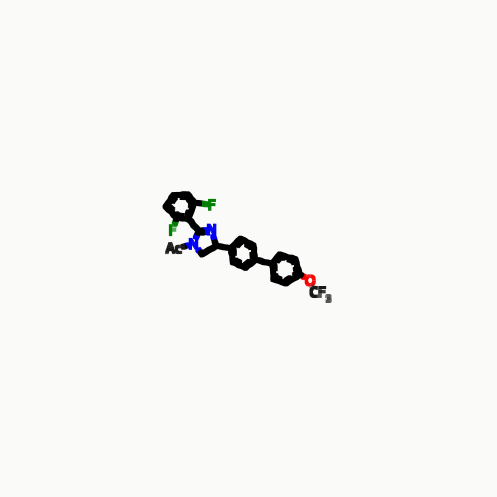 CC(=O)N1CC(c2ccc(-c3ccc(OC(F)(F)F)cc3)cc2)N=C1c1c(F)cccc1F